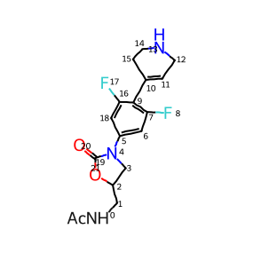 CC(=O)NCC1CN(c2cc(F)c(C3=CCNCC3)c(F)c2)C(=O)O1